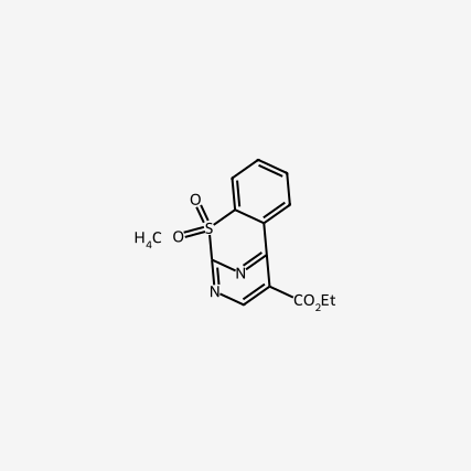 C.CCOC(=O)c1cnc2nc1-c1ccccc1S2(=O)=O